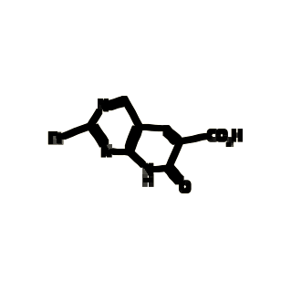 CCc1ncc2cc(C(=O)O)c(=O)[nH]c2n1